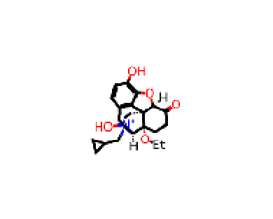 CCO[C@@]12CCC(=O)[C@@H]3Oc4c(O)ccc5c4[C@@]31CC[N+](O)(CC1CC1)[C@@H]2C5